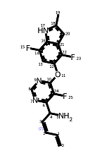 C=C/C=C\C(N)c1ncnc(Oc2cc(F)c3[nH]c(C)cc3c2F)c1F